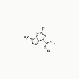 C=C(OCC)c1nc(Cl)nc2c1ccn2C